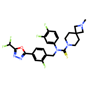 CN1CC2(CCN(C(=S)N(Cc3ccc(-c4nnc(C(F)F)o4)cc3F)c3ccc(F)c(F)c3)CC2)C1